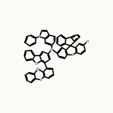 Clc1ccc2c(c1)C1(c3cc(N(c4cc(-c5cccc6c5Oc5ccccc5O6)c5oc6ccccc6c5c4)c4ccc5ccn(-c6ccccc6)c5c4)ccc3S2)c2ccccc2-c2ccccc21